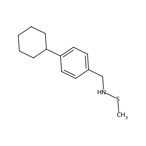 CSNCc1ccc(C2CCCCC2)cc1